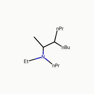 CCCCC(CCC)C(C)N(CC)CCC